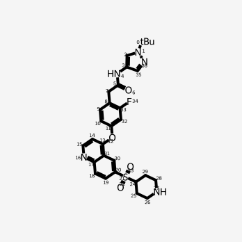 CC(C)(C)n1cc(NC(=O)Cc2ccc(Oc3ccnc4ccc(S(=O)(=O)C5CCNCC5)cc34)cc2F)cn1